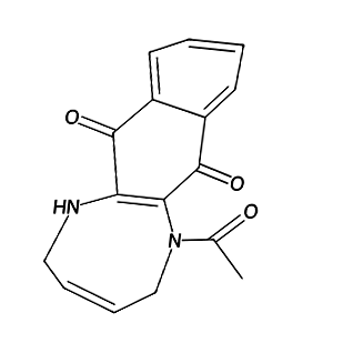 CC(=O)N1C/C=C\CNC2=C1C(=O)c1ccccc1C2=O